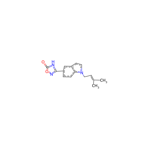 CC(C)=CCn1ccc2cc(-c3noc(=O)[nH]3)ccc21